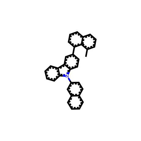 Cc1cccc2cccc(-c3ccc4c(c3)c3ccccc3n4-c3ccc4ccccc4c3)c12